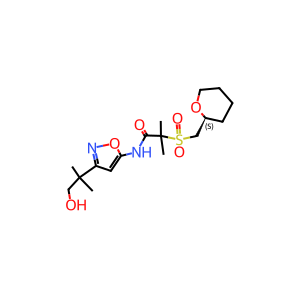 CC(C)(CO)c1cc(NC(=O)C(C)(C)S(=O)(=O)C[C@@H]2CCCCO2)on1